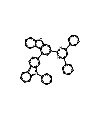 c1ccc(-c2cc(-c3ccccc3)nc(-c3cc(-c4ccc5c6ccccc6n(-c6ccccc6)c5c4)c4c(c3)oc3ccccc34)n2)cc1